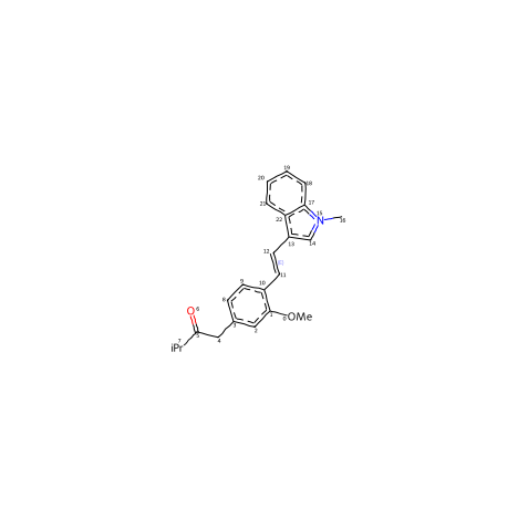 COc1cc(CC(=O)C(C)C)ccc1/C=C/c1cn(C)c2ccccc12